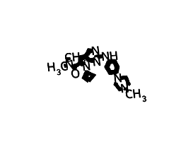 CN1CCN(c2ccc(Nc3ncc4cc(C(=O)N(C)C)n(C56CC(C5)C6)c4n3)cc2)CC1